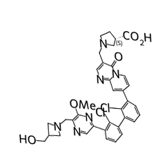 COc1nc(-c2cccc(-c3cccc(-c4ccn5c(=O)c(CN6CC[C@H](C(=O)O)C6)cnc5c4)c3Cl)c2Cl)cnc1CN1CC(CO)C1